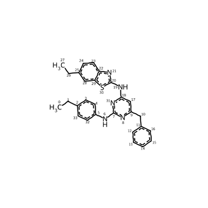 CCc1ccc(Nc2nc(Cc3ccccc3)cc(Nc3nc4ccc(CC)cc4s3)n2)cc1